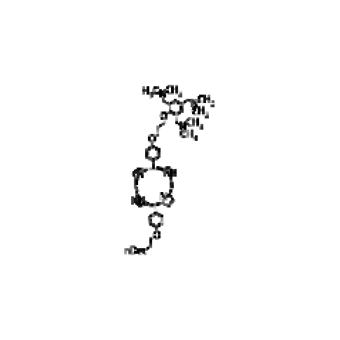 CCCCCCCCCCCCOc1ccc(-c2c3nc(cc4ccc([nH]4)c(-c4ccc(OCCCOc5c(CN(C)C)cc(CN(C)C)cc5CN(C)C)cc4)c4nc(cc5ccc2[nH]5)C=C4)C=C3)cc1